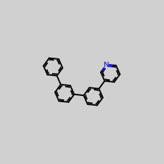 c1ccc(-c2cccc(-c3cccc(-c4cccnc4)c3)c2)cc1